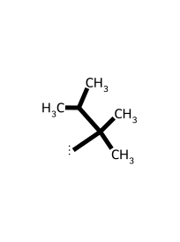 [C]C(C)(C)C(C)C